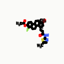 CC(=O)Oc1ccc2c(c1F)CCC1C2CC[C@]2(C)C(=O)C[C@@H](CCC(=O)Nc3ncc(C)s3)C12